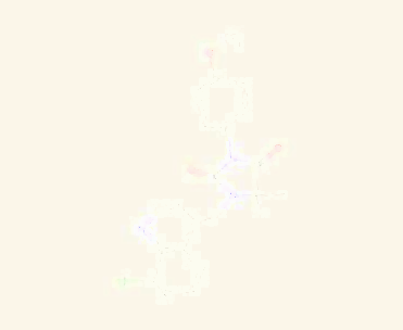 CC1(C)C(=O)N(c2ccc(OC(F)(F)F)cc2)C(=O)N1Cc1ccnc2c(Cl)cccc12